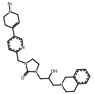 CC(=O)N1CC=C(c2ccc(CN3CCN(CC(O)CN4CCc5ccccc5C4)C3=O)nc2)CC1